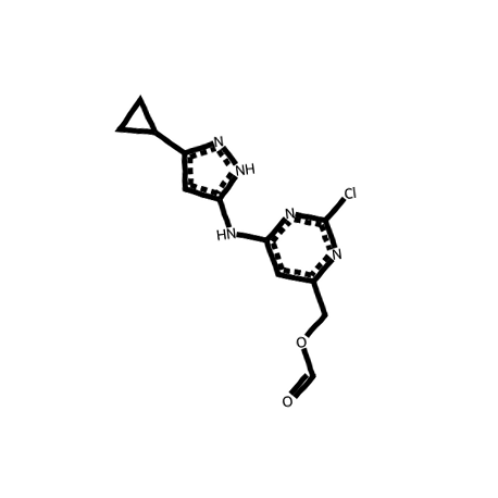 O=COCc1cc(Nc2cc(C3CC3)n[nH]2)nc(Cl)n1